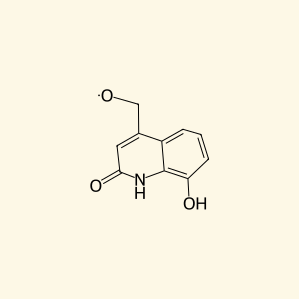 [O]Cc1cc(=O)[nH]c2c(O)cccc12